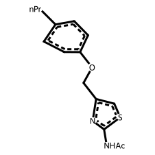 CCCc1ccc(OCc2csc(NC(C)=O)n2)cc1